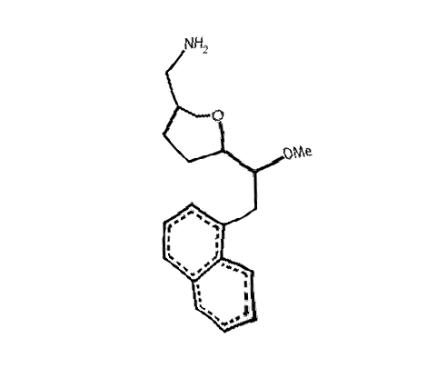 COC(Cc1cccc2ccccc12)C1CCC(CN)O1